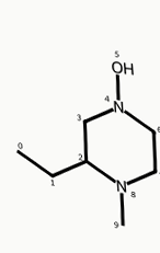 CCC1CN(O)CCN1C